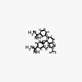 CC(C)c1nc2ccn(-c3cccc(C(=N)N)c3)c(=O)c2n1Cc1cccc(C(=N)N)c1